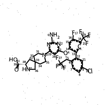 Nc1nc(O[C@H](c2ccc(Cl)cc2-c2ccc(F)c(C(F)(F)F)c2)C(F)(F)F)cc(N2CCC3(CC2)CN[C@H](C(=O)O)C3)n1